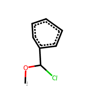 [C]OC(Cl)c1ccccc1